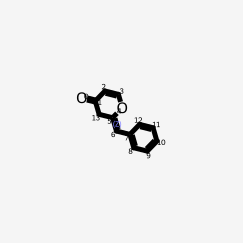 O=C1C=CO/C(=C\c2ccccc2)C1